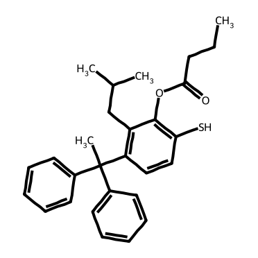 CCCC(=O)Oc1c(S)ccc(C(C)(c2ccccc2)c2ccccc2)c1CC(C)C